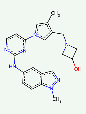 Cc1cn(-c2ccnc(Nc3ccc4c(cnn4C)c3)n2)cc1CN1CC(O)C1